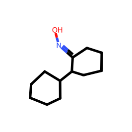 ON=C1CCCCC1C1CCCCC1